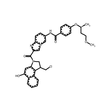 COCC[C@H](C)Oc1ccc(C(=O)Nc2ccc3nc(C(=O)N4CC(CCl)c5c4cc(O)c4ccccc54)cn3c2)cc1